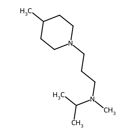 CC1CCN(CCCN(C)C(C)C)CC1